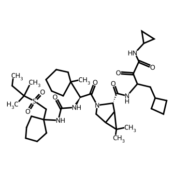 CCC(C)(C)S(=O)(=O)CC1(NC(=O)N[C@H](C(=O)N2CC3C([C@H]2C(=O)NC(CC2CCC2)C(=O)C(=O)NC2CC2)C3(C)C)C2(C)CCCCC2)CCCCC1